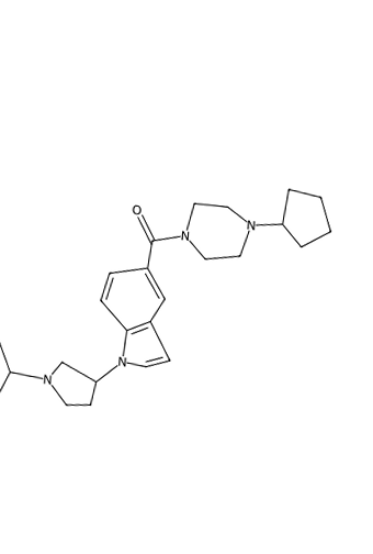 CC(C)N1CCC(n2ccc3cc(C(=O)N4CCN(C5CCCC5)CC4)ccc32)C1